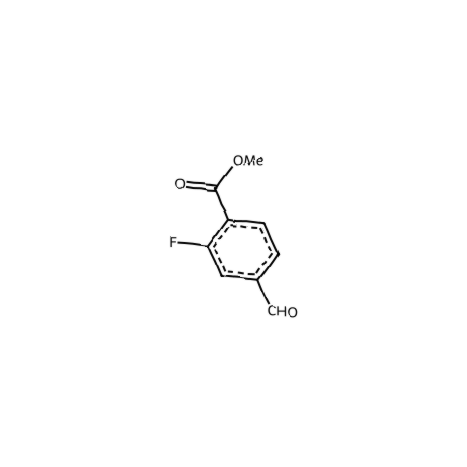 COC(=O)c1ccc(C=O)cc1F